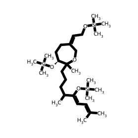 CC(C)=CC=C(O[Si](C)(C)C)C(C)CCCC1(C)OCC(=CCO[Si](C)(C)C)CC[C@H]1O[Si](C)(C)C